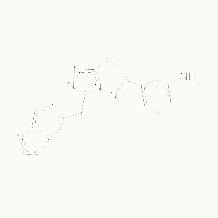 Nc1cccc(-c2ccc3nnc(Cc4ccc5ncsc5c4)n3n2)c1